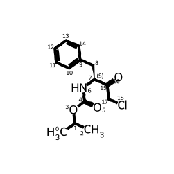 CC(C)OC(=O)N[C@@H](Cc1ccccc1)C(=O)CCl